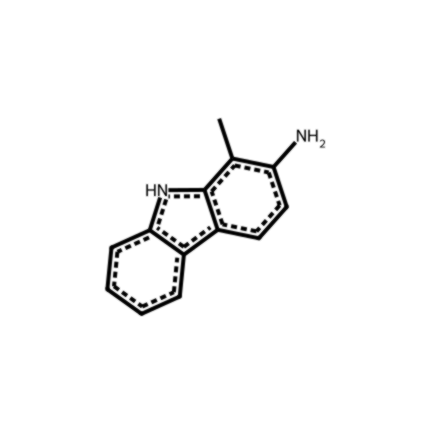 Cc1c(N)ccc2c1[nH]c1ccccc12